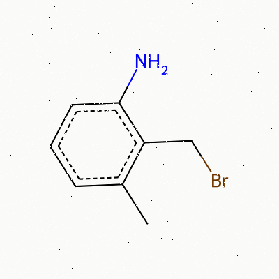 Cc1cccc(N)c1CBr